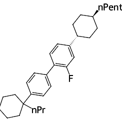 CCCCC[C@H]1CC[C@H](c2ccc(-c3ccc(C4(CCC)CCCCC4)cc3)c(F)c2)CC1